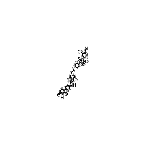 C[C@@H]1CN(CCC[C@H]2CC[C@H](N3C(=S)N(c4cnc(C#N)c(Cl)c4)C(=O)C3(C)C)CC2)C[C@H](C)N1CC(=O)Nc1ccc(C2CCC(=O)NC2=O)nc1